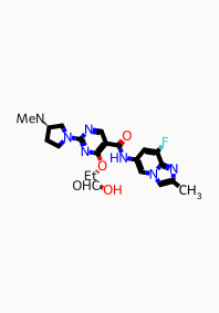 CCOc1nc(N2CC[C@H](NC)C2)ncc1C(=O)Nc1cc(F)c2nc(C)cn2c1.O=CO